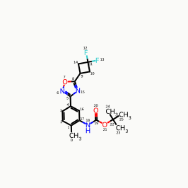 Cc1ccc(-c2noc(C3CC(F)(F)C3)n2)cc1NC(=O)OC(C)(C)C